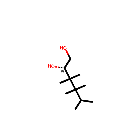 CC(C)C(C)(C)C(C)(C)[C@H](O)CO